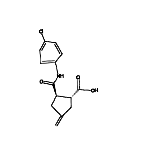 C=C1C[C@@H](C(=O)O)[C@H](C(=O)Nc2ccc(Cl)cc2)C1